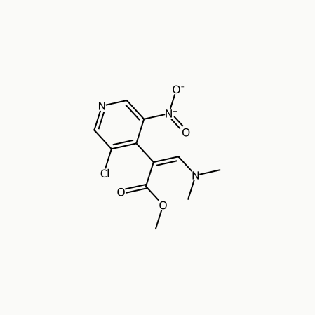 COC(=O)C(=CN(C)C)c1c(Cl)cncc1[N+](=O)[O-]